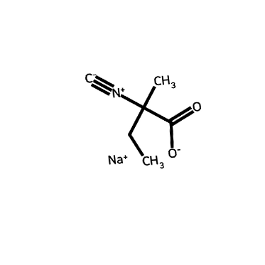 [C-]#[N+]C(C)(CC)C(=O)[O-].[Na+]